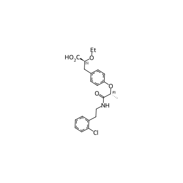 CCO[C@@H](Cc1ccc(O[C@H](C)C(=O)NCCc2ccccc2Cl)cc1)C(=O)O